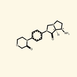 N[C@@H]1CCN2CN(c3ccc(N4CCOCC4=O)cc3)C(=O)[C@H]12